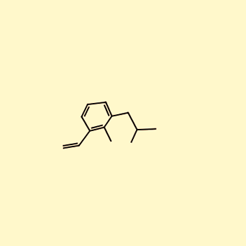 C=Cc1cccc(CC(C)C)c1C